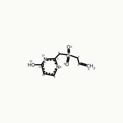 C=CCS(=O)(=O)Cc1nccc(O)n1